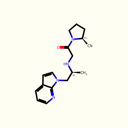 C[C@@H](Cn1ccc2cccnc21)NCC(=O)N1CCC[C@H]1C#N